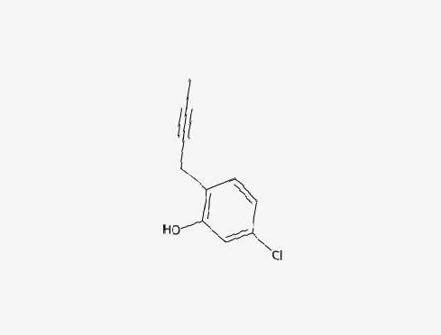 CC#CCc1ccc(Cl)cc1O